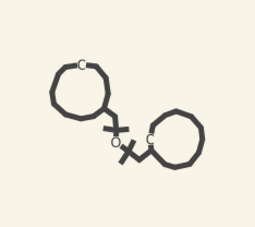 CC(C)(CC1CCCCCCCCCCC1)OC(C)(C)CC1CCCCCCCCCCC1